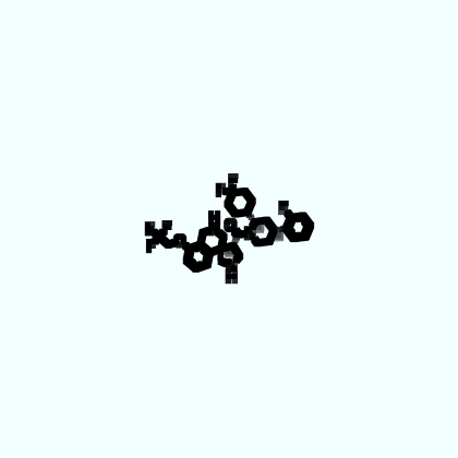 O=C([C@@H]1CNC[C@]12CNCc1c(OCC(F)(F)F)cccc12)N1CC[C@@H](c2ccccc2F)C[C@H]1C1CCC(F)(F)CC1